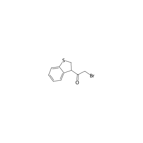 O=C(CBr)C1CSc2ccccc21